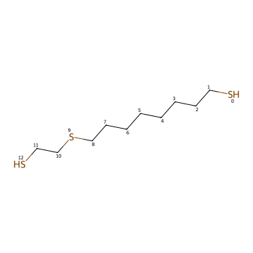 SCCCCCCCCSCCS